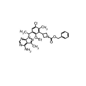 CCOc1c(C(C)n2nc(C)c3c(N)ncnc32)cc(Cl)c(C)c1C1CN(C(=O)OCc2ccccc2)C1